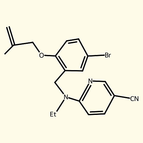 C=C(C)COc1ccc(Br)cc1CN(CC)c1ccc(C#N)cn1